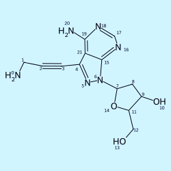 NCC#Cc1nn(C2CC(O)C(CO)O2)c2ncnc(N)c12